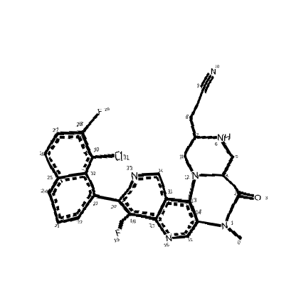 CN1C(=O)C2CNC(CC#N)CN2c2c1cnc1c(F)c(-c3cccc4ccc(F)c(Cl)c34)ncc21